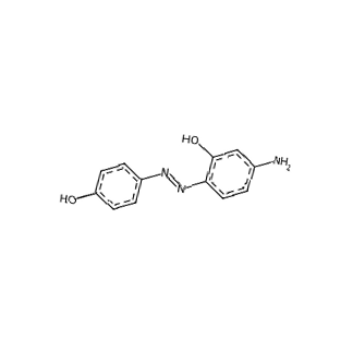 Nc1ccc(N=Nc2ccc(O)cc2)c(O)c1